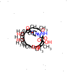 CO[C@H]1/C=C/O[C@@]2(C)Oc3c(C)c(O)c4c(c3C2=O)C(=O)C(/C=N/N2CCN(C3CCCC3)CC2)=C(NC(=O)/C(C)=C\C=C\[C@]2(C)O[C@H]([C@@H](C)[C@@H](O)[C@@H](C)[C@H](O)[C@@H]1C)[C@H]2C)C4=O